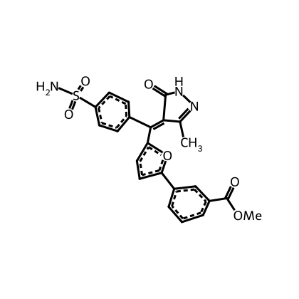 COC(=O)c1cccc(-c2ccc(C(=C3C(=O)NN=C3C)c3ccc(S(N)(=O)=O)cc3)o2)c1